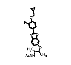 CC(=O)N[C@@H](C)C(C)Oc1ccc2nc(-c3ccc(OCC4CC4)c(F)c3)oc2c1